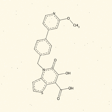 COc1cc(-c2ccc(Cn3c(=O)c(O)c(C(=O)O)c4sccc43)cc2)ccn1